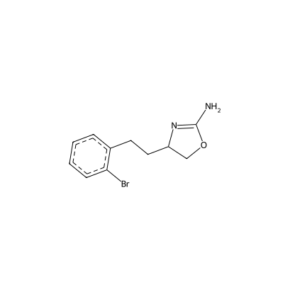 NC1=NC(CCc2ccccc2Br)CO1